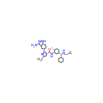 Cc1cc(C(=O)Nc2cc(C(NCC3CC3)c3ccccc3)ccc2F)n(-c2ccc3[nH]nc(N)c3c2)n1